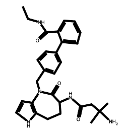 CCNC(=O)c1ccccc1-c1ccc(CN2C(=O)C(NC(=O)CC(C)(C)N)CCc3[nH]ccc32)cc1